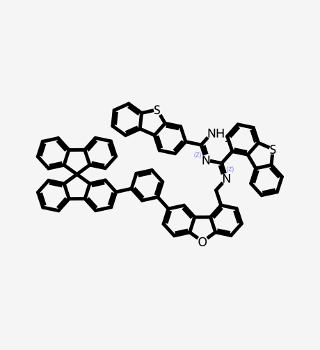 N/C(=N\C(=N/Cc1cccc2oc3ccc(-c4cccc(-c5ccc6c(c5)C5(c7ccccc7-c7ccccc75)c5ccccc5-6)c4)cc3c12)c1cccc2sc3ccccc3c12)c1ccc2c(c1)sc1ccccc12